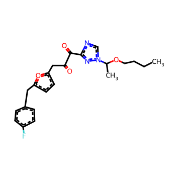 CCCCOC(C)n1cnc(C(=O)C(=O)Cc2ccc(Cc3ccc(F)cc3)o2)n1